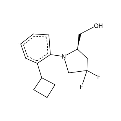 OC[C@H]1CC(F)(F)CN1c1cc[c]cc1C1CCC1